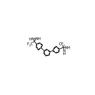 FC(F)(F)C1(c2ccc(-c3cccc(-c4ccc(C5(C(F)(F)F)NN5)cc4)c3)cc2)NN1